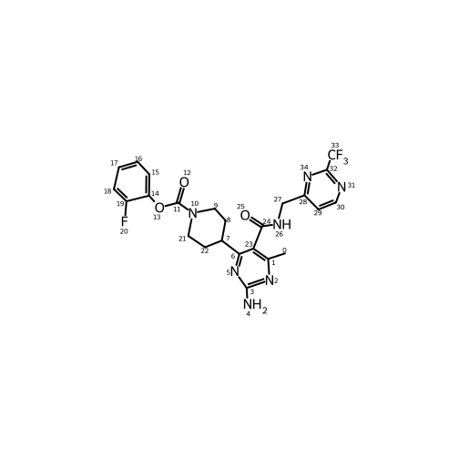 Cc1nc(N)nc(C2CCN(C(=O)Oc3ccccc3F)CC2)c1C(=O)NCc1ccnc(C(F)(F)F)n1